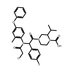 Cc1cc(Oc2ccccc2)ccc1N(C(=O)CCl)C(C(=O)N1CCN(C(=O)O)C(C(C)C)C1)c1ccc(F)cc1